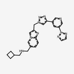 c1cnn(-c2cncc(-c3cn(Cc4cn5cc(CNCC6CCC6)ccc5n4)nn3)c2)n1